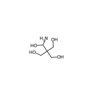 NC(O)C(CO)(CO)CO